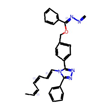 C=N/N=C(\OCc1ccc(-c2nnc(-c3ccccc3)n2/C=C/C=C\C=C/C)cc1)c1ccccc1